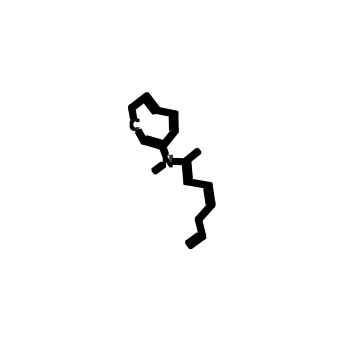 C=CC/C=C\C=C(/C)N(C)C1=C/CC/C=C/C=C\1